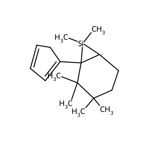 CC1(C)CC[C]2C(C3=CC=CC3)(C1(C)C)[Si]2(C)C